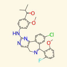 COc1cc(Nc2ncc3c(n2)-c2ccc(Cl)cc2C(c2c(F)cccc2OC)=NC3)ccc1C(=O)C(C)C